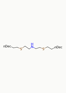 CCCCCCCCCCCCSCCNCCSCCCCCCCCCCCC